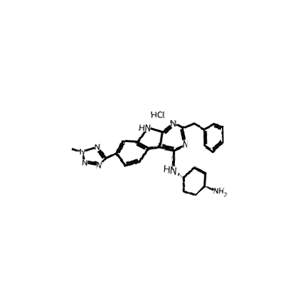 Cl.Cn1nnc(-c2ccc3c(c2)[nH]c2nc(Cc4ccccc4)nc(N[C@H]4CC[C@H](N)CC4)c23)n1